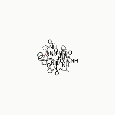 CC(=O)N[C@H]1CCC[C@@H]1C(=O)N[C@H](CC(=O)N[C@H]1CCC[C@@H]1C(=O)N[C@H]1CNC[C@@H]1C(=O)NC[C@H](CC(C)C)C(=O)N[C@H]1CCC[C@@H]1C(=O)N[C@H](CC(N)=O)Cc1cccc2ccccc12)Cc1ccc2ccccc2c1